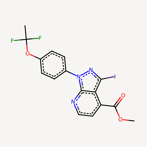 COC(=O)c1ccnc2c1c(I)nn2-c1ccc(OC(C)(F)F)cc1